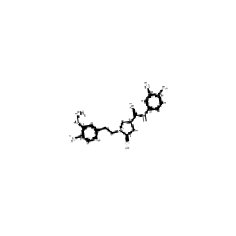 COc1cc(CCN2CC(C(=O)Nc3ccc(F)c(Cl)c3)CC2=O)ccc1C